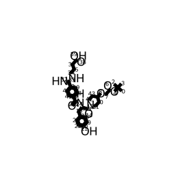 CC(C)(C)OC(=O)COC1CCN(C(=O)C(Cc2ccc(O)cc2)NC(=O)c2ccc(C(=N)NCCCC(=O)O)cc2)CC1